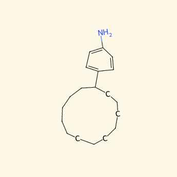 Nc1ccc(C2CCCCCCCCCCCC2)cc1